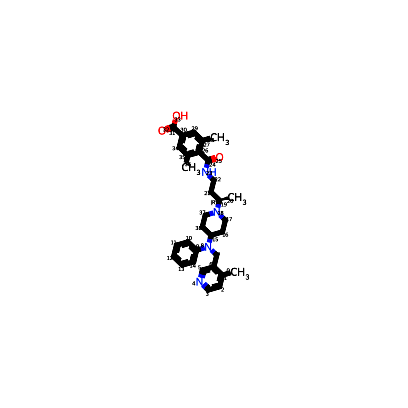 Cc1ccncc1CN(c1ccccc1)C1CCN([C@H](C)CCNC(=O)c2c(C)cc(C(=O)O)cc2C)CC1